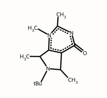 Cc1nc(=O)c2c(n1C)C(C)N(C(C)(C)C)C2C